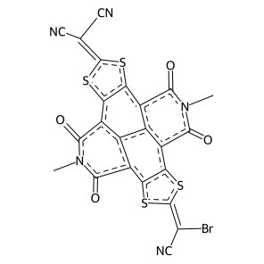 Cn1c(=O)c2c3sc(=C(Br)C#N)sc3c3c(=O)n(C)c(=O)c4c5sc(=C(C#N)C#N)sc5c(c1=O)c2c34